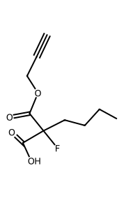 C#CCOC(=O)C(F)(CCCC)C(=O)O